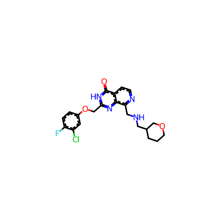 O=c1[nH]c(COc2ccc(F)c(Cl)c2)nc2c(CNCC3CCCOC3)nccc12